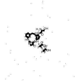 N[C@@H](CO)C(=O)Nc1ccc2cc1CCc1cccc(c1)Nc1ncc(Cl)c(n1)N2.O=C(O)C(F)(F)F.O=C(O)C(F)(F)F